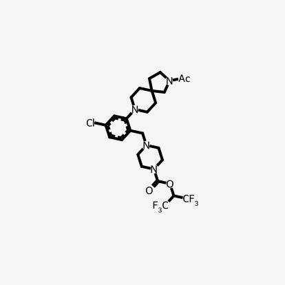 CC(=O)N1CCC2(CCN(c3cc(Cl)ccc3CN3CCN(C(=O)OC(C(F)(F)F)C(F)(F)F)CC3)CC2)C1